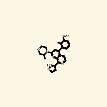 COc1cccc(-c2cc(N3CCOCC3C)nc3c(-c4ccn[nH]4)nccc23)c1F